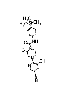 Cc1cc(C#N)cnc1N1CCN(C(=O)Nc2ccc([Si](C)(C)C)cc2)[C@H](C)C1